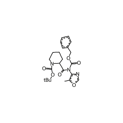 Cc1ocnc1N(C(=O)OCc1ccccc1)C(=O)C1CCCCN1C(=O)OC(C)(C)C